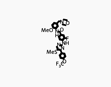 COc1ccc(CN2CCOCC2)cc1NC(=O)c1ccc(Nc2ncc(SC)c(-c3ccc(OC(F)(F)F)cc3)n2)c(F)c1